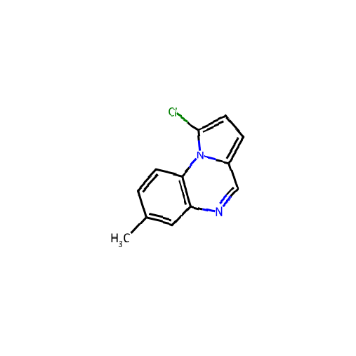 Cc1ccc2c(c1)ncc1ccc(Cl)n12